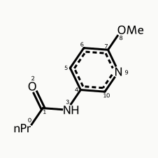 CCCC(=O)Nc1ccc(OC)nc1